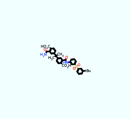 CC(C)(C)c1cccc(S(=O)(=O)c2cccc(NC(=O)c3cc(C(C)(C)c4ccc(C(=O)O)c(C(N)=O)c4)ccc3C(=O)O)c2)c1